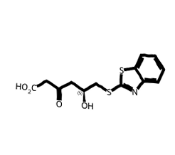 O=C(O)CC(=O)C[C@H](O)CSc1nc2ccccc2s1